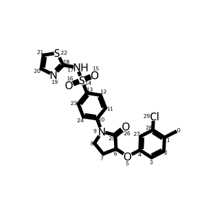 Cc1ccc(OC2CCN(c3ccc(S(=O)(=O)Nc4nccs4)cc3)C2=O)cc1Cl